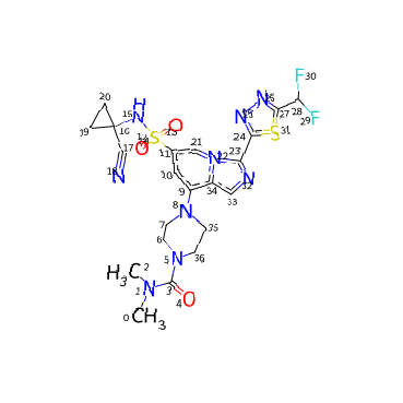 CN(C)C(=O)N1CCN(c2cc(S(=O)(=O)NC3(C#N)CC3)cn3c(-c4nnc(C(F)F)s4)ncc23)CC1